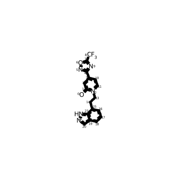 O=c1cc(-c2noc(C(F)(F)F)n2)ccn1CCc1cccc2cn[nH]c12